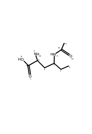 CCC(CC(N)C(=O)O)NC(C)=O